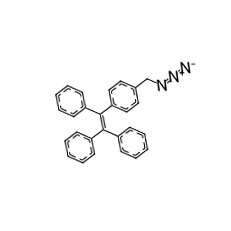 [N-]=[N+]=NCc1ccc(C(=C(c2ccccc2)c2ccccc2)c2ccccc2)cc1